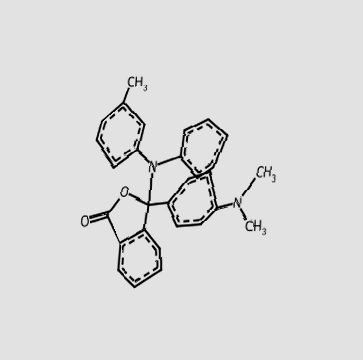 Cc1cccc(N(c2ccccc2)C2(c3ccc(N(C)C)cc3)OC(=O)c3ccccc32)c1